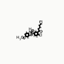 COc1ccc(NS(=O)(=O)c2ccc(Cl)c(C(=O)CCCCCl)c2)cc1